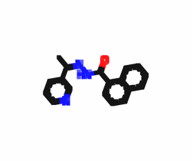 CC(=NNC(=O)c1cccc2ccccc12)c1cccnc1